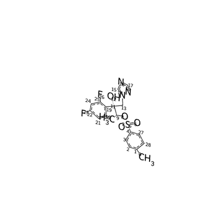 Cc1ccc(S(=O)(=O)O[C@H](C)[C@](O)(Cn2cncn2)c2ccc(F)cc2F)cc1